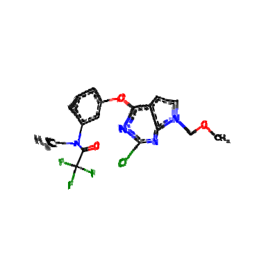 COCn1ccc2c(Oc3cccc(N(C)C(=O)C(F)(F)F)c3)nc(Cl)nc21